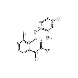 CCC(=O)N(CC)c1cccc(CC)c1COc1ccc(CC)cc1C